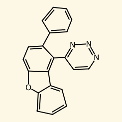 c1ccc(-c2ccc3oc4ccccc4c3c2-c2ccnnn2)cc1